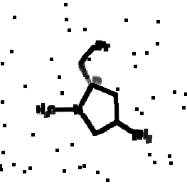 BC1C[C@@H](CC(C)C)N(C)C1